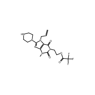 C=CCn1c(N2CCNCC2)nc2c1c(=O)n(CCOC(=O)C(F)(F)F)c(=O)n2C